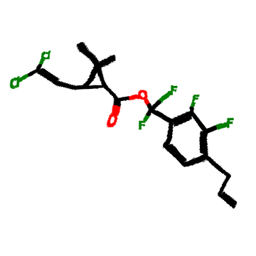 C=CCc1ccc(C(F)(F)OC(=O)C2C(C=C(Cl)Cl)C2(C)C)c(F)c1F